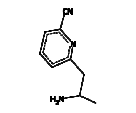 CC(N)Cc1cccc(C#N)n1